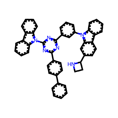 c1ccc(-c2ccc(-c3nc(-c4cccc(-n5c6ccccc6c6ccc(C7CCN7)cc65)c4)nc(-n4c5ccccc5c5ccccc54)n3)cc2)cc1